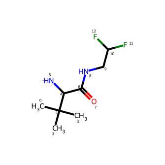 CC(C)(C)C([NH])C(=O)NCC(F)F